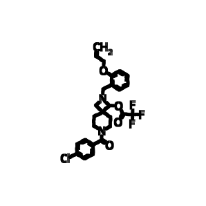 C=CCOc1ccccc1CN1CC2(CCN(C(=O)c3ccc(Cl)cc3)CC2)C1OC(=O)C(F)(F)F